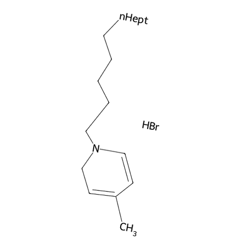 Br.CCCCCCCCCCCCN1C=CC(C)=CC1